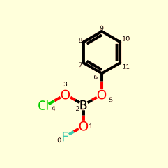 FOB(OCl)Oc1ccccc1